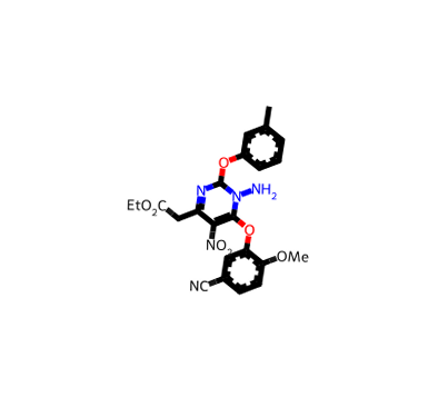 CCOC(=O)CC1=NC(Oc2cccc(C)c2)N(N)C(Oc2cc(C#N)ccc2OC)=C1[N+](=O)[O-]